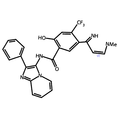 CN/C=C\C(=N)c1cc(C(=O)Nc2c(-c3ccccc3)nc3ccccn23)c(O)cc1C(F)(F)F